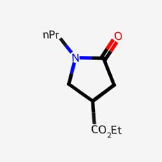 CCCN1CC(C(=O)OCC)CC1=O